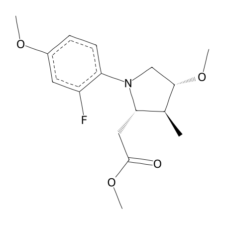 COC(=O)C[C@H]1[C@H](C)[C@@H](OC)CN1c1ccc(OC)cc1F